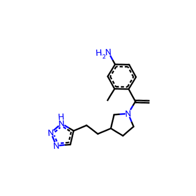 C=C(c1ccc(N)cc1C)N1CCC(CCc2cnn[nH]2)C1